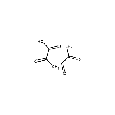 CC(=O)C(=O)O.CC(=O)C=O